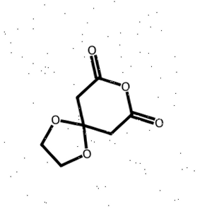 O=C1CC2(CC(=O)O1)OCCO2